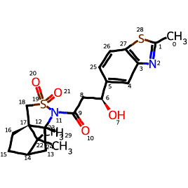 Cc1nc2cc([C@@H](O)CC(=O)N3[C@@H]4CC5CC[C@]4(CS3(=O)=O)C5(C)C)ccc2s1